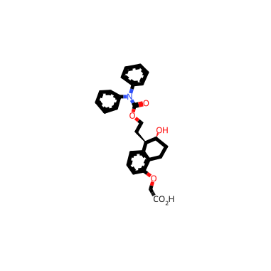 O=C(O)COc1cccc2c1CC[C@@H](O)[C@@H]2CCOC(=O)N(c1ccccc1)c1ccccc1